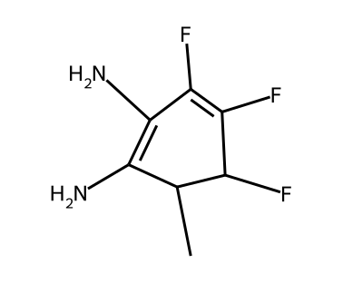 CC1C(N)=C(N)C(F)=C(F)C1F